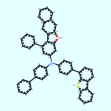 c1ccc(-c2ccc(N(c3ccc(-c4cccc5c4sc4ccccc45)cc3)c3cc(-c4ccccc4)c4c(c3)oc3cc5ccccc5cc34)cc2)cc1